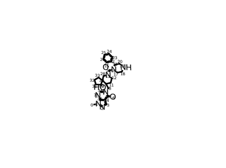 Cn1ncc2c(=O)n(CC3(O)CCN(C(=O)N4CCNC[C@H]4c4ccccc4)CC34CCCC4)cnc21